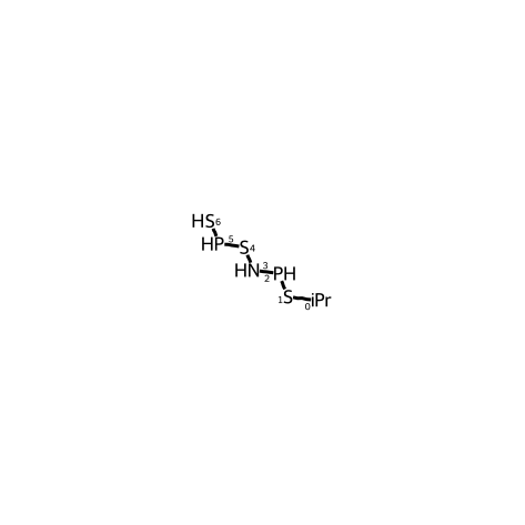 CC(C)SPNSPS